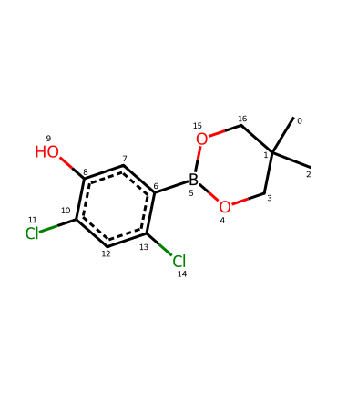 CC1(C)COB(c2cc(O)c(Cl)cc2Cl)OC1